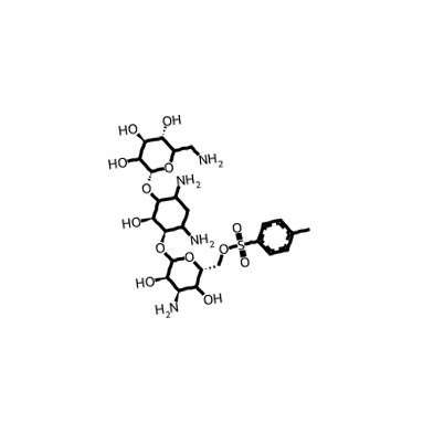 Cc1ccc(S(=O)(=O)OC[C@H]2OC(O[C@@H]3C(N)CC(N)C(O[C@H]4OC(CN)[C@@H](O)[C@H](O)C4O)[C@@H]3O)[C@H](O)[C@H](N)C2O)cc1